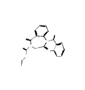 CCOC(=O)N1Cc2nc3ccccc3c(=O)n2-c2ccccc2C1=O